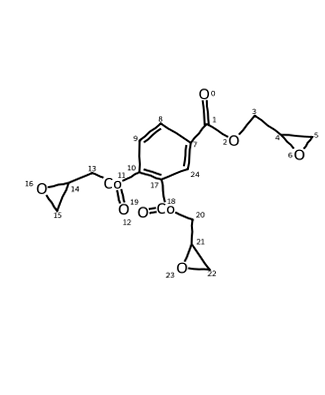 O=C(OCC1CO1)c1cc[c]([Co](=[O])[CH2]C2CO2)[c]([Co](=[O])[CH2]C2CO2)c1